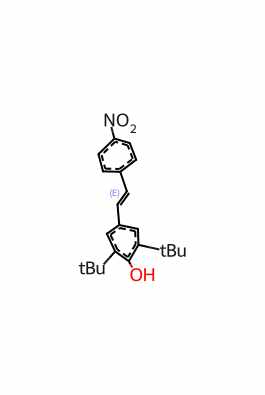 CC(C)(C)c1cc(/C=C/c2ccc([N+](=O)[O-])cc2)cc(C(C)(C)C)c1O